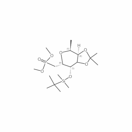 COP(=O)(C[C@@H]1O[C@@H](C)[C@H]2OC(C)(C)OC2[C@@H]1O[Si](C)(C)C(C)(C)C)OC